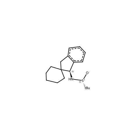 CC(C)(C)[S@@+]([O-])N[C@@H]1c2ccccc2CC12CCCCC2